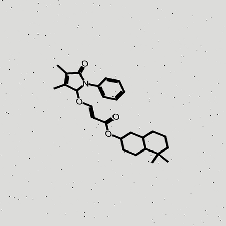 CC1=C(C)C(O/C=C/C(=O)OC2CCC3C(CCCC3(C)C)C2)N(c2ccccc2)C1=O